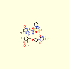 CCS(=O)(=O)c1nc2ccccn2c1S(=O)(=O)NC(=O)Nc1nc(OC)cc(OC)n1.CCc1ccc(COc2ccc(-n3c(=O)cc(C(F)(F)F)n(C)c3=O)cc2)c(OC(C)C(=O)OC)c1